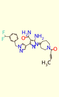 CC#CC(=O)N1CCC[C@H](n2nc(-c3cnn(Cc4cccc(C(F)F)c4)c3)c(C(N)=O)c2N)CC1